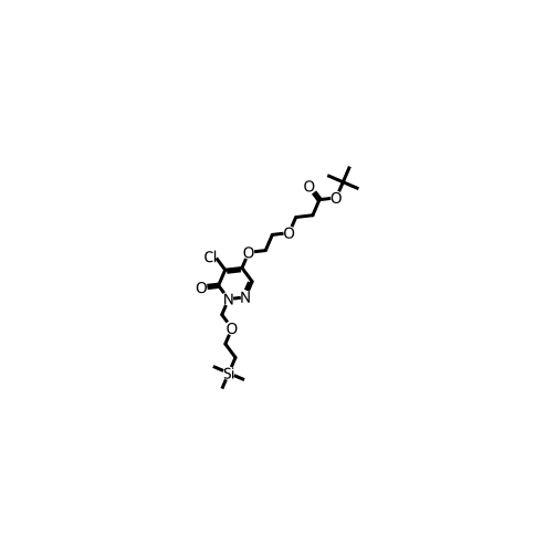 CC(C)(C)OC(=O)CCOCCOc1cnn(COCC[Si](C)(C)C)c(=O)c1Cl